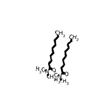 CCCCCCCCCC(=O)N(C)C.CCCCCCCCCC(=O)N(C)C